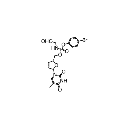 Cc1cn(C2C=C[C@@H](COP(=O)(NCC=O)Oc3ccc(Br)cc3)O2)c(=O)[nH]c1=O